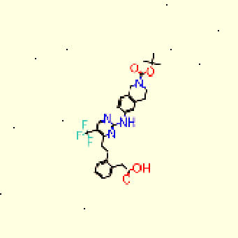 CC(C)(C)OC(=O)N1CCc2cc(Nc3ncc(C(F)(F)F)c(CCc4ccccc4CC(=O)O)n3)ccc2C1